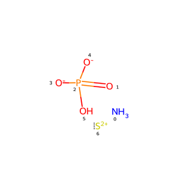 N.O=P([O-])([O-])O.[S+2]